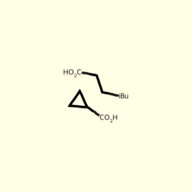 CCC(C)CCC(=O)O.O=C(O)C1CC1